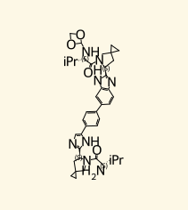 CC(C)[C@H](N)C(=O)N1CC2(CC2)C[C@H]1c1ncc(-c2ccc(-c3ccc4nc([C@@H]5CC6(CC6)CN5C(=O)[C@@H](NC5OCO5)C(C)C)[nH]c4c3)cc2)[nH]1